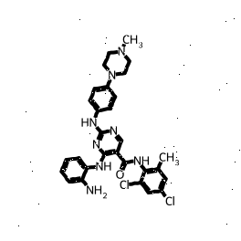 Cc1cc(Cl)cc(Cl)c1NC(=O)c1cnc(Nc2ccc(N3CCN(C)CC3)cc2)nc1Nc1ccccc1N